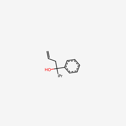 C=CCC(O)(c1ccccc1)C(C)C